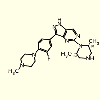 C[C@@H]1CNC[C@H](C)N1c1ncc2[nH]nc(-c3ccc(N4CCN(C)CC4)c(F)c3)c2n1